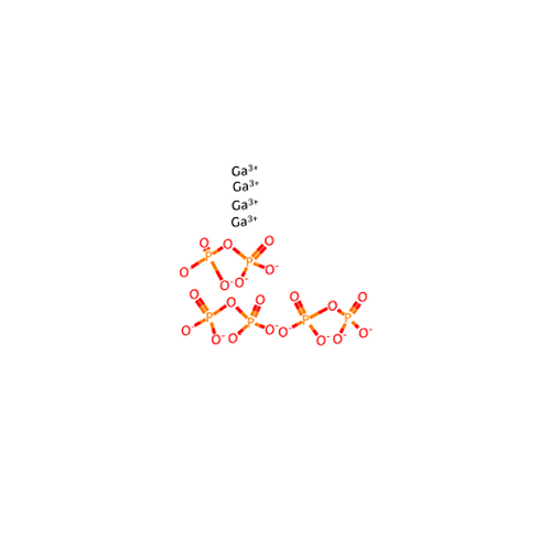 O=P([O-])([O-])OP(=O)([O-])[O-].O=P([O-])([O-])OP(=O)([O-])[O-].O=P([O-])([O-])OP(=O)([O-])[O-].[Ga+3].[Ga+3].[Ga+3].[Ga+3]